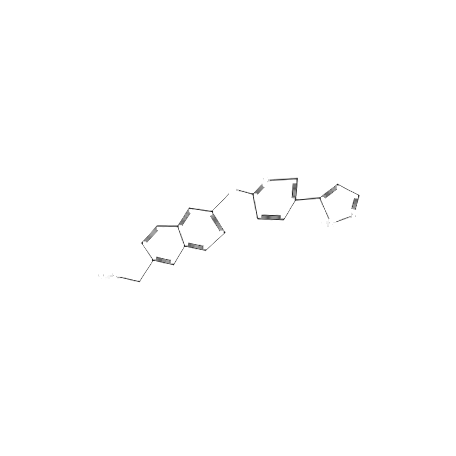 CNCc1ccc2cc(Oc3ccc(-c4ccn[nH]4)cn3)ccc2c1